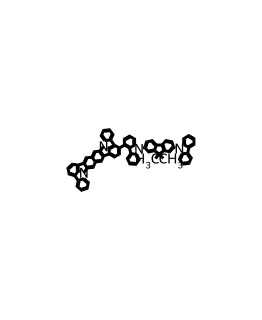 CC1(C)c2cc(-n3c4ccccc4c4ccccc43)ccc2-c2ccc(-n3c4ccccc4c4c(-c5ccc6c7cc8cc9c(cc8cc7n7c8ccccc8c5c67)c5cccc6c7ccccc7n9c65)cccc43)cc21